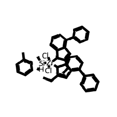 CCC1=Cc2c(-c3ccccc3)cccc2[CH]1[Zr]([Cl])([Cl])([CH]1C(CC)=Cc2c(-c3ccccc3)cccc21)[SiH](C)C.Cc1ccccc1